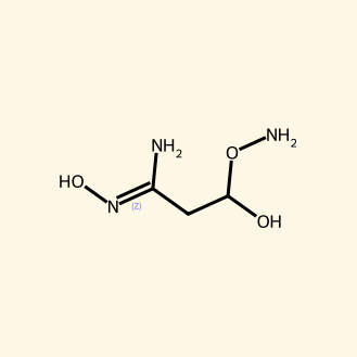 NOC(O)C/C(N)=N/O